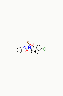 C[C@@H]1[C@@H](c2ccc(Cl)cc2)OC(=S)N1C(=O)NC1CCCCC1